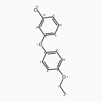 [CH2]COc1ccc(Oc2cccc(Cl)c2)cc1